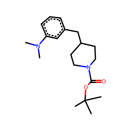 CN(C)c1cccc(CC2CCN(C(=O)OC(C)(C)C)CC2)c1